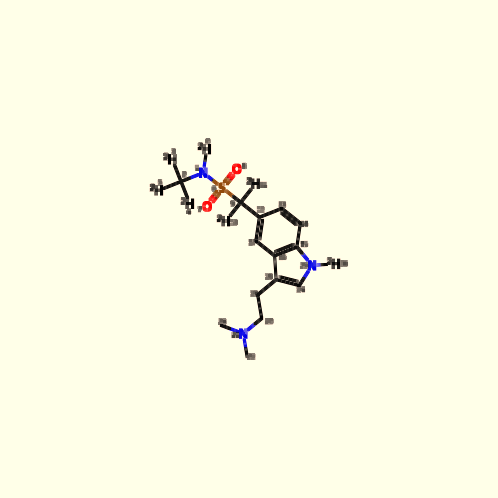 [2H]N(C([2H])([2H])[2H])S(=O)(=O)C([2H])([2H])c1ccc2c(c1)c(CCN(C)C)cn2[2H]